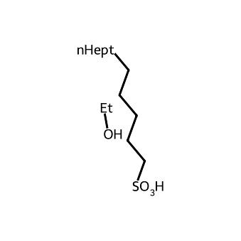 CCCCCCCCCCCCS(=O)(=O)O.CCO